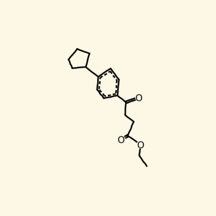 CCOC(=O)CCC(=O)c1ccc(C2CCCC2)cc1